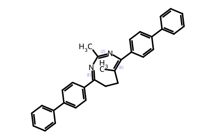 CC1=N/C(c2ccc(-c3ccccc3)cc2)=C(\C)CC/C(c2ccc(-c3ccccc3)cc2)=N\1